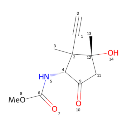 C#CC1(C)[C@@H](NC(=O)OC)C(=O)C[C@@]1(C)O